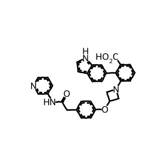 O=C(Cc1ccc(OC2CN(c3cccc(C(=O)O)c3-c3ccc4cc[nH]c4c3)C2)cc1)Nc1cccnc1